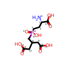 N[C@@H](CCP(=O)(O)CC(CC(=O)O)CC(=O)O)C(=O)O